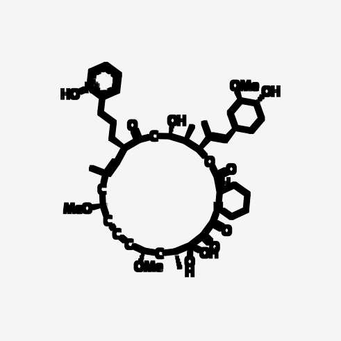 CO[C@@H]1CCC[C@@H](OC)C[C@@H](C)C(O)(O)C(=O)C(=O)N2CCCC[C@H]2C(=O)O[C@H](/C(C)=C/[C@@H]2CC[C@@H](O)[C@H](OC)C2)[C@H](C)[C@@H](O)CC(=O)[C@H](CCCc2cccc[n+]2O)/C=C(\C)C1